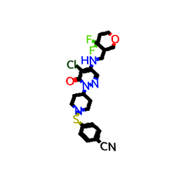 N#Cc1ccc(SN2CCC(n3ncc(NCC4COCCC4(F)F)c(Cl)c3=O)CC2)cc1